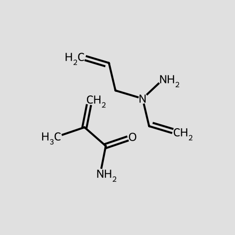 C=C(C)C(N)=O.C=CCN(N)C=C